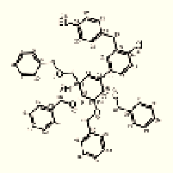 [2H][C@]1(COCc2ccccc2)C=C(c2ccc(Cl)c(Cc3ccc(CC)cc3)c2)[C@H](OCc2ccccc2)[C@@H](OCc2ccccc2)[C@@H]1OCc1ccccc1